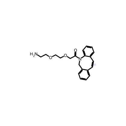 NCCOCCOCC(=O)N1Cc2ccccc2/C=C\c2ccccc21